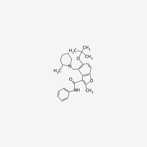 Cc1oc2ccc(OC(C)(C)C)c(CN3CCCCC3C)c2c1C(=O)Nc1ccccc1